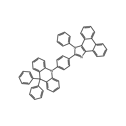 c1ccc(-n2c(-c3ccc(N4c5ccccc5C(c5ccccc5)(c5ccccc5)c5ccccc54)cc3)nc3c4ccccc4c4ccccc4c32)cc1